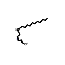 CCCCCCCCCCCC1OC1C/C=C\C=CO